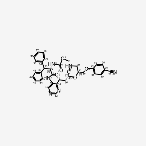 COC(=O)N[C@H](C(=O)Nc1cncnc1CC[C@@H]1CNC[C@@H](COc2ccc(C#N)cc2)O1)C(c1ccccc1)c1ccccc1